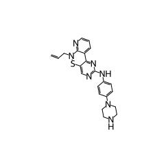 C=CCN1Sc2cnc(Nc3ccc(N4CCNCC4)cc3)nc2-c2cccnc21